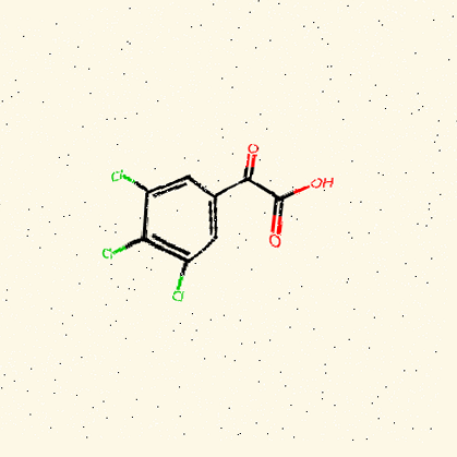 O=C(O)C(=O)c1cc(Cl)c(Cl)c(Cl)c1